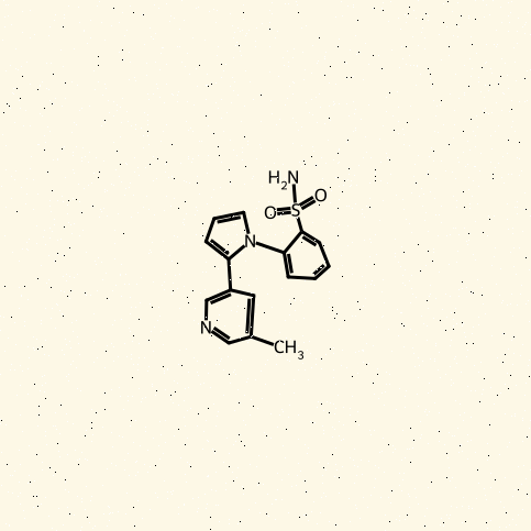 Cc1cncc(-c2cccn2-c2ccccc2S(N)(=O)=O)c1